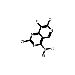 CCN(CC)c1nc(Cl)nc2c(F)c(Cl)ncc12